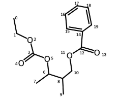 CCOC(=O)OC(C)C(C)COC(=O)c1ccccc1